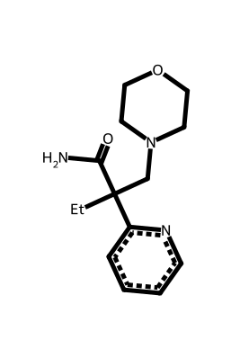 CCC(CN1CCOCC1)(C(N)=O)c1ccccn1